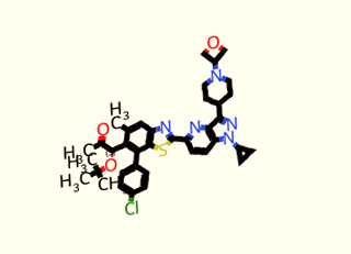 CC(=O)[C@@H](OC(C)(C)C)c1c(C)cc2nc(-c3ccc4c(n3)c(C3CCN(C5COC5)CC3)nn4C3CC3)sc2c1-c1ccc(Cl)cc1